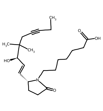 CCC#CCC(C)(C)[C@H](O)/C=C/[C@H]1CCC(=O)N1CCCCCCC(=O)O